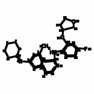 Cc1cc(N=S2CCCCC2)cc2ncnc(Nc3ccc(F)cc3OC3CCOC3)c12